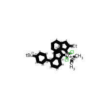 CCC1=Cc2ccccc2[CH]1[Zr]([Cl])([Cl])([CH]1C(C(C)C)=Cc2c(-c3ccc(C(C)(C)C)cc3)cccc21)[SiH](C)C